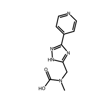 CN(Cc1nc(-c2ccncc2)n[nH]1)C(=O)O